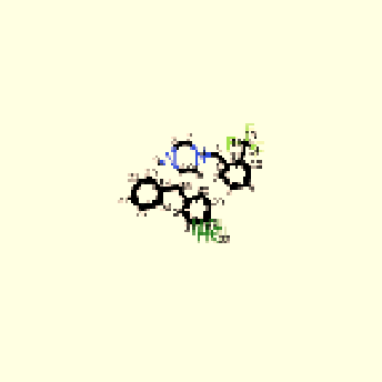 CN1CCN(Cc2ccccc2C(F)(F)F)C[C@@H]1C(c1ccccc1)c1ccccc1.Cl.Cl